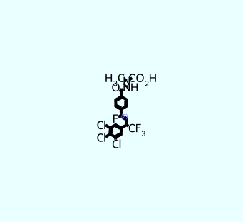 CN(NC(=O)c1ccc(/C(F)=C/C(c2cc(Cl)c(Cl)c(Cl)c2)C(F)(F)F)cc1)C(=O)O